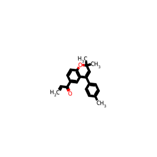 C=CC(=O)c1ccc2c(c1)C(c1ccc(C)cc1)=CC(C)(C)O2